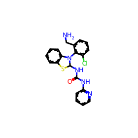 NCc1cccc(Cl)c1N1c2ccccc2SC1NC(=O)Nc1ccccn1